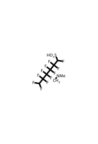 CNC.O=S(=O)(O)C(F)C(F)(F)C(F)(F)C(F)(F)C(F)(F)C(F)F